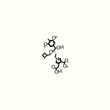 COC(=O)c1cn(CC[C@H](OCC2CCC2)[C@H](O)c2cc(OC)c(C)c(OC)c2)cc1CC(=O)O